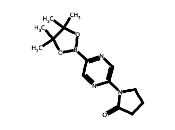 CC1(C)OB(c2cnc(N3CCCC3=O)cn2)OC1(C)C